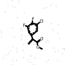 C=C(C(=O)OC)c1cc(F)c(F)c(Cl)c1